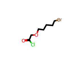 O=C(Cl)COCCCCCBr